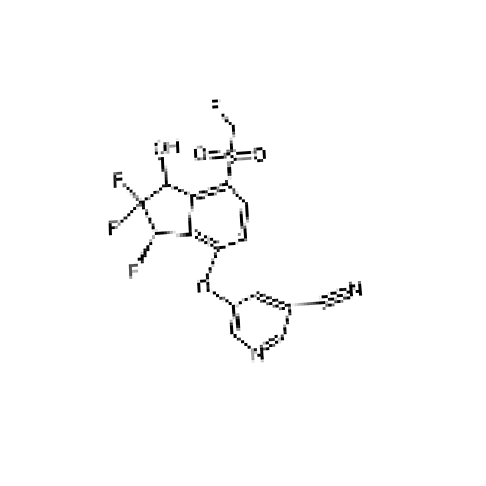 N#Cc1cncc(Oc2ccc(S(=O)(=O)CF)c3c2[C@@H](F)C(F)(F)[C@H]3O)c1